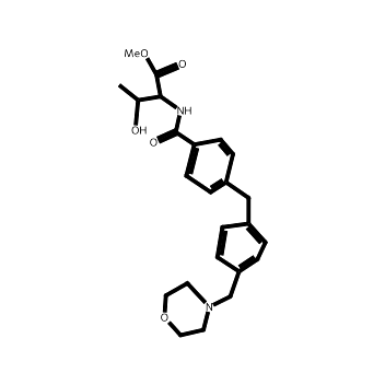 COC(=O)C(NC(=O)c1ccc(Cc2ccc(CN3CCOCC3)cc2)cc1)C(C)O